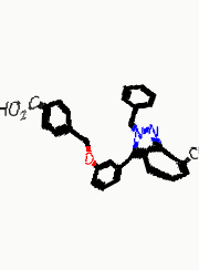 O=C(O)c1ccc(COc2cccc(-c3c4cccc(C(F)(F)F)c4nn3Cc3ccccc3)c2)cc1